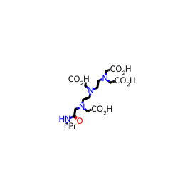 [CH2]CCNC(=O)CN(CCN(CCN(CC(=O)O)CC(=O)O)CC(=O)O)CC(=O)O